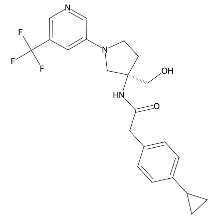 O=C(Cc1ccc(C2CC2)cc1)N[C@]1(CO)CCN(c2cncc(C(F)(F)F)c2)C1